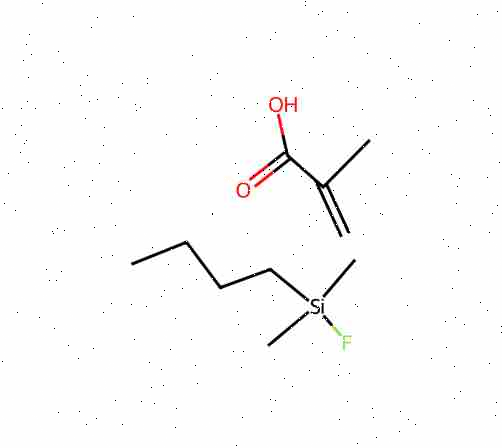 C=C(C)C(=O)O.CCCC[Si](C)(C)F